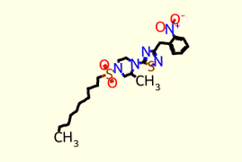 CCCCCCCCCCS(=O)(=O)N1CCN(c2nc(Cc3ccccc3[N+](=O)[O-])ns2)C(C)C1